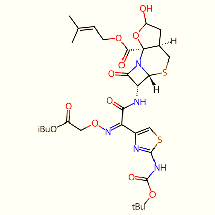 CC(C)=CCOC(=O)[C@]12OC(O)C[C@H]1CS[C@@H]1[C@H](NC(=O)/C(=N\OCC(=O)OCC(C)C)c3csc(NC(=O)OC(C)(C)C)n3)C(=O)N12